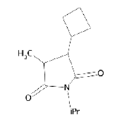 CC1C(=O)N(C(C)C)C(=O)C1C1CCC1